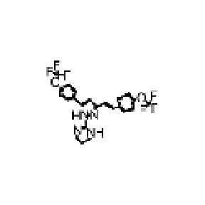 FC(F)(F)Oc1ccc(/C=C/C(/C=C/c2ccc(OC(F)(F)F)cc2)=NNC2=NCCCN2)cc1